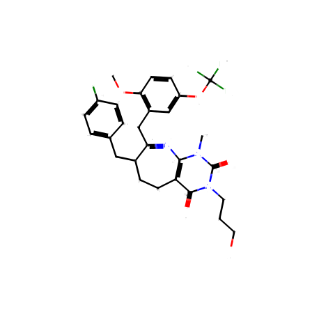 COc1ccc(OC(F)(F)F)cc1CC1=Nc2c(c(=O)n(CCCO)c(=O)n2C)CCC1Cc1ccc(Cl)cc1